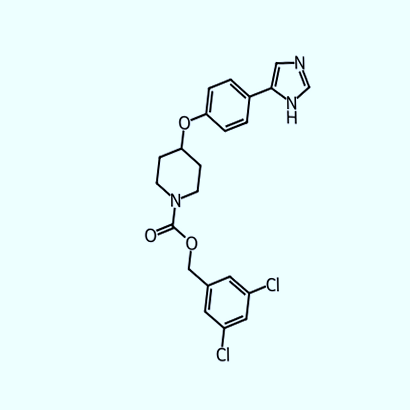 O=C(OCc1cc(Cl)cc(Cl)c1)N1CCC(Oc2ccc(-c3cnc[nH]3)cc2)CC1